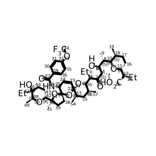 CC[C@@H](C(=O)[C@@H](C)[C@@H](O)[C@H](C)[C@@H]1O[C@@H]([C@@H](CC)C(=O)O)CC[C@@H]1C)[C@H]1O[C@]2(C=C[C@@H](NC(=O)c3ccc(OC(F)(F)F)cc3)[C@]3(CC[C@@](C)([C@H]4CC[C@](O)(CC)[C@H](C)O4)O3)O2)[C@H](C)C[C@@H]1C